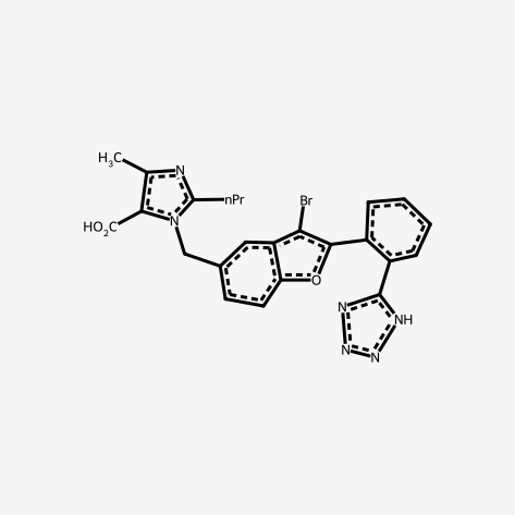 CCCc1nc(C)c(C(=O)O)n1Cc1ccc2oc(-c3ccccc3-c3nnn[nH]3)c(Br)c2c1